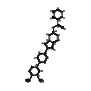 Cc1ccc(-c2ccc(-c3nc4ccn(CC(=O)c5cccnn5)cc-4n3)cc2)cc1C